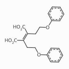 O=C(O)C(CCOc1ccccc1)=C(CCOc1ccccc1)C(=O)O